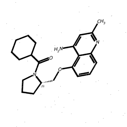 Cc1cc(N)c2c(OC[C@@H]3CCCN3C(=O)C3CCCCC3)cccc2n1